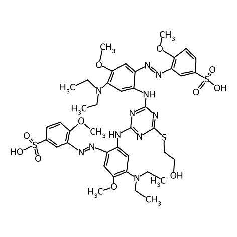 CCN(CC)c1cc(Nc2nc(Nc3cc(N(CC)CC)c(OC)cc3/N=N/c3cc(S(=O)(=O)O)ccc3OC)nc(SCCO)n2)c(/N=N/c2cc(S(=O)(=O)O)ccc2OC)cc1OC